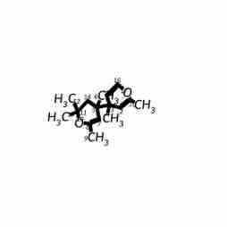 CC1=CC(C)(C2(C)C=C(C)OC(C)(C)C2)C=CO1